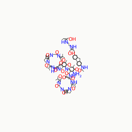 CC(=O)Nc1ccc2c(c1)Cc1ccccc1-2.CC[C@@H](CO)NCCN[C@@H](CC)CO.Cc1c2oc3c(C)ccc(C(=O)N[C@@H]4C(=O)N[C@H](C(C)C)C(=O)N5CCC[C@H]5C(=O)N(C)CC(=O)N(C)[C@@H](C(C)C)C(=O)O[C@@H]4C)c3nc-2c(C(=O)N[C@@H]2C(=O)N[C@H](C(C)C)C(=O)N3CCC[C@H]3C(=O)N(C)CC(=O)N(C)[C@@H](C(C)C)C(=O)O[C@@H]2C)c(N)c1=O